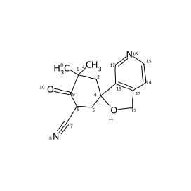 CC1(C)CC2(CC(C#N)C1=O)OCc1ccncc12